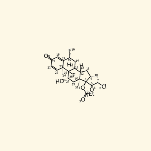 CCC(=O)O[C@]1(C(=O)CCl)[C@@H](C)C[C@H]2[C@@H]3C[C@H](F)C4=CC(=O)C=C[C@]4(C)C3(F)[C@@H](O)C[C@@]21C